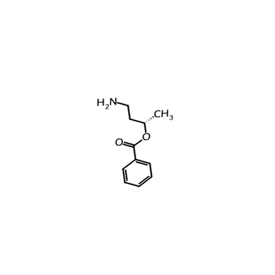 C[C@@H](CCN)OC(=O)c1ccccc1